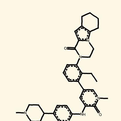 CCc1c(-c2cc(Nc3ccc(C4CCN(C)CC4)cn3)c(=O)n(C)c2)cccc1N1CCn2c(cc3c2CCCC3)C1=O